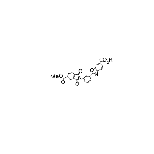 COC(=O)c1ccc2c(c1)C(=O)N(c1cccc(-c3nc4ccc(C(=O)O)cc4o3)c1)C2=O